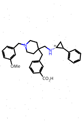 COc1cccc(CN2CCC(CN[C@@H]3CC3c3ccccc3)(Cc3cccc(C(=O)O)c3)CC2)c1